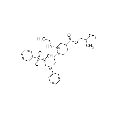 CCN[C@@H]1CC(C(=O)OCC(C)C)CCN1CC[C@@H](CN(C)S(=O)(=O)c1ccccc1)c1ccccc1